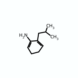 CC(C)CC1=CCCC=C1N